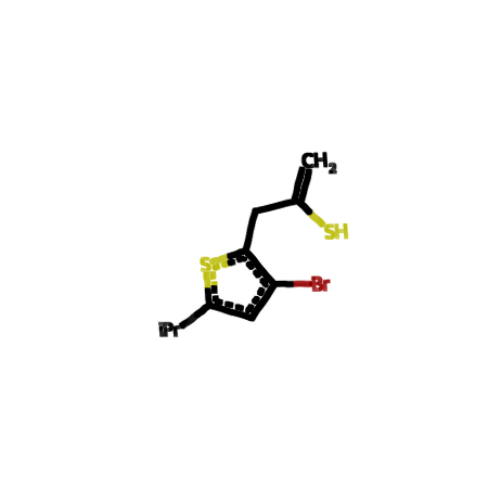 C=C(S)Cc1sc(C(C)C)cc1Br